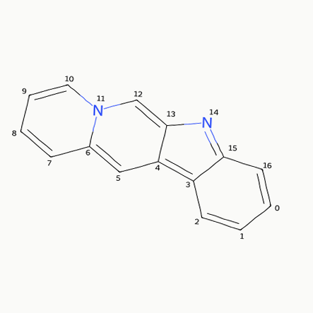 c1ccc2c3cc4ccccn4cc-3nc2c1